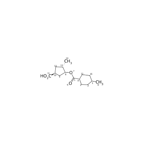 CC1CCC(C(=O)OC2C[C@@H](C(=O)O)C[C@@H]2C)CC1